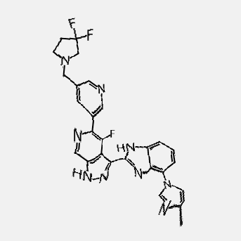 Cc1cn(-c2cccc3[nH]c(-c4n[nH]c5cnc(-c6cncc(CN7CCC(F)(F)C7)c6)c(F)c45)nc23)cn1